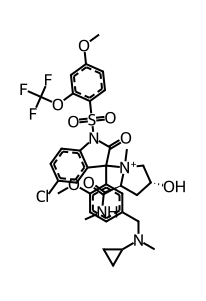 CNC(=O)[C@@H]1C[C@@H](O)C[N+]1(C)C1(c2cc(CN(C)C3CC3)ccc2OC)C(=O)N(S(=O)(=O)c2ccc(OC)cc2OC(F)(F)F)c2ccc(Cl)cc21